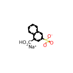 O=C(O)c1cc(S(=O)(=O)[O-])cc2ccccc12.[Na+]